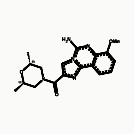 COc1cccc2c1nc(N)n1cc(C(=O)N3C[C@@H](C)O[C@H](C)C3)nc21